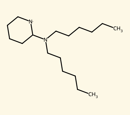 CCCCCCN(CCCCCC)C1CCCC[N]1